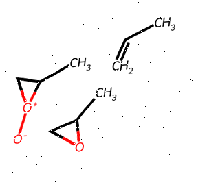 C=CC.CC1CO1.CC1C[O+]1[O-]